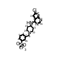 O=S(=O)(c1cccc(CN2CCC(Nc3ncnc4sc(Cl)cc34)CC2)c1)C(F)(F)F